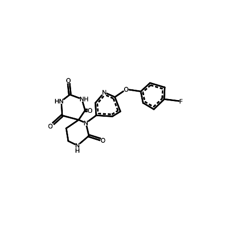 O=C1NC(=O)C2(CCNC(=O)N2c2ccc(Oc3ccc(F)cc3)nc2)C(=O)N1